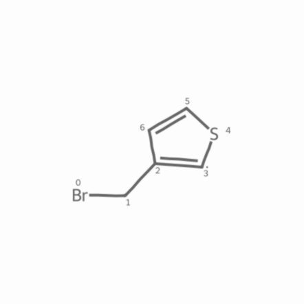 BrCc1[c]scc1